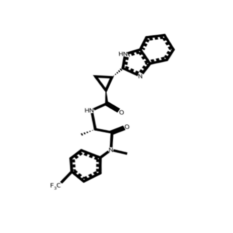 C[C@H](NC(=O)[C@H]1C[C@@H]1c1nc2ccccc2[nH]1)C(=O)N(C)c1ccc(C(F)(F)F)cc1